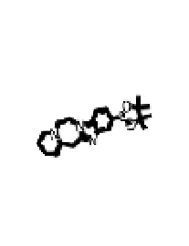 CC1(C)OB(c2ccc3c(c2)nc2n3CCN3CCCCC3C2)OC1(C)C